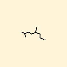 [CH2]CCC(C)CCC([CH2])C